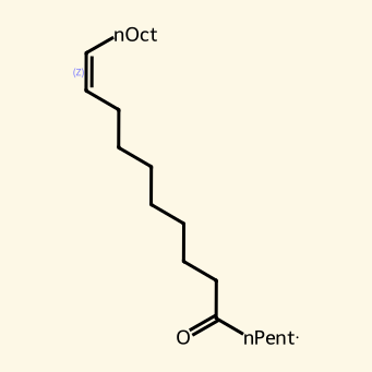 CCCC[CH]C(=O)CCCCCCC/C=C\CCCCCCCC